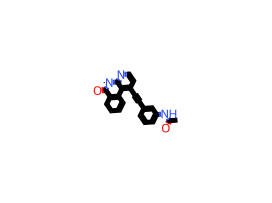 CC(=O)Nc1cccc(C#Cc2ccnc3c2C2=C(CCC=C2)C(=O)[N]3)c1